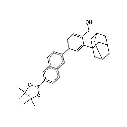 CC1(C)OB(c2ccc3cc(C4C=C(C56CC7CC(CC(C7)C5)C6)C(CO)=CC4)ccc3c2)OC1(C)C